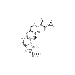 Cc1ccc(C(=O)NC2CC2)cc1Nc1ncnn2cc(C(=O)O)c(C)c12